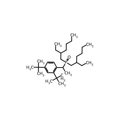 CCCCC(CC)CP(=O)(CC(CC)CCCC)[C](C)c1ccc(C(C)(C)C)cc1C(C)(C)C